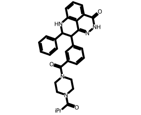 CC(C)C(=O)N1CCN(C(=O)c2cccc(C3c4n[nH]c(=O)c5cccc(c45)NC3c3ccccc3)c2)CC1